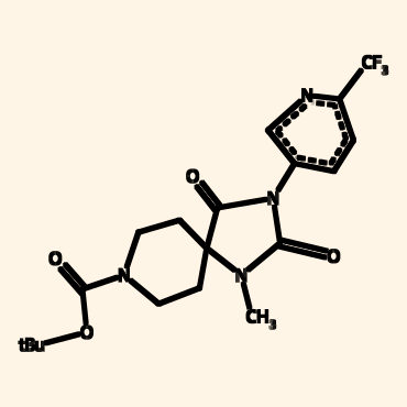 CN1C(=O)N(c2ccc(C(F)(F)F)nc2)C(=O)C12CCN(C(=O)OC(C)(C)C)CC2